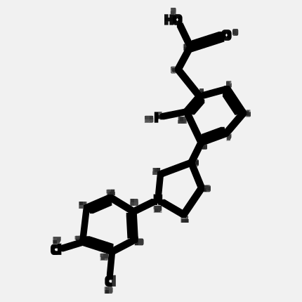 O=C(O)Cc1cccc(C2CCN(c3ccc(Cl)c(Cl)c3)C2)c1F